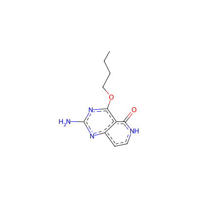 CCCCOc1nc(N)nc2cc[nH]c(=O)c12